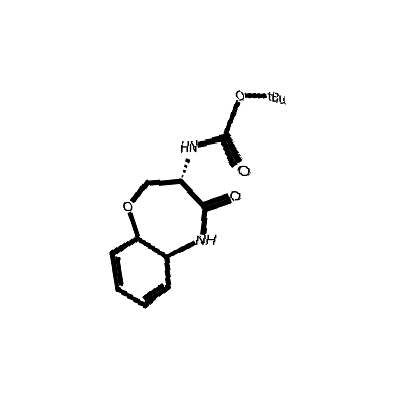 CC(C)(C)OC(=O)N[C@H]1COC2C=CC=CC2NC1=O